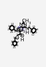 C/C=c1/nc(C)nc(NCc2ccccc2)/c1=C/C(OCc1ccccc1)[C@H](O)COCc1ccccc1